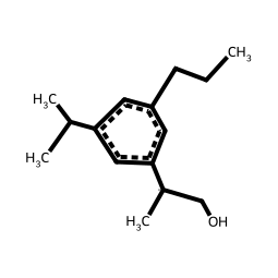 CCCc1cc([C](C)CO)cc(C(C)C)c1